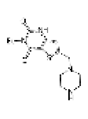 CCn1c(=O)[nH]c2cc(CN3CCNCC3)sc2c1=O